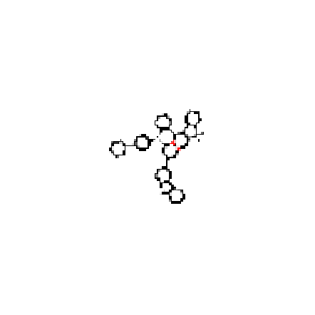 CC1(C)c2ccccc2-c2c(-c3ccccc3N(c3ccc(-c4ccccc4)cc3)c3cccc(-c4ccc5sc6ccccc6c5c4)c3)cccc21